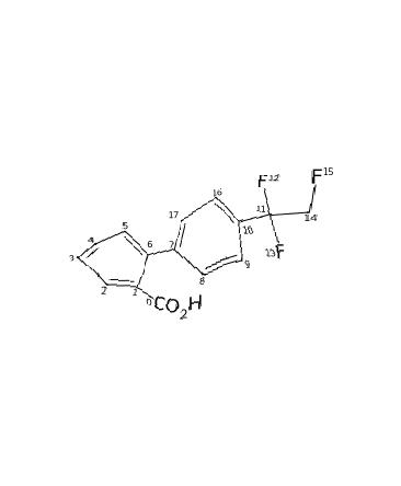 O=C(O)c1ccccc1-c1ccc(C(F)(F)CF)cc1